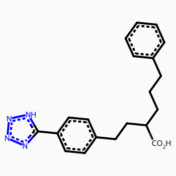 O=C(O)C(CCCc1ccccc1)CCc1ccc(-c2nnn[nH]2)cc1